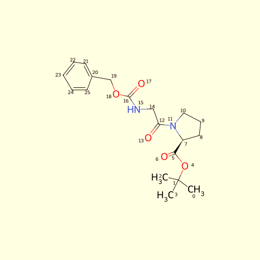 CC(C)(C)OC(=O)[C@@H]1CCCN1C(=O)CNC(=O)OCc1ccccc1